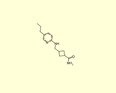 CCCc1ccc(NCC2CC(C(N)=O)C2)nc1